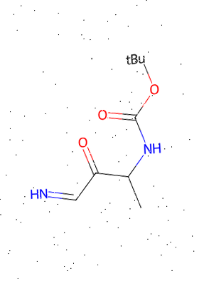 CC(NC(=O)OC(C)(C)C)C(=O)C=N